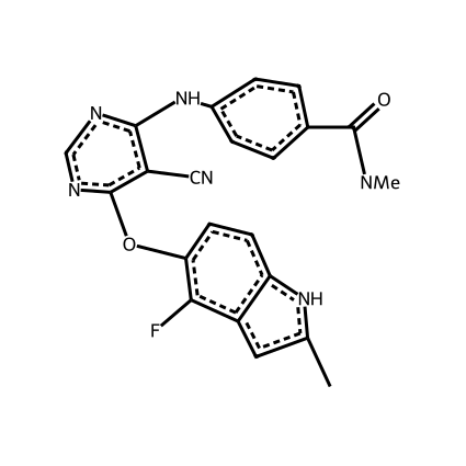 CNC(=O)c1ccc(Nc2ncnc(Oc3ccc4[nH]c(C)cc4c3F)c2C#N)cc1